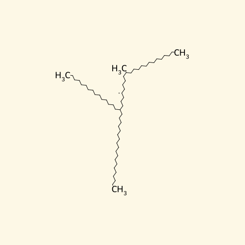 CCCCCCCCCCCCCCCCCCCC(CCC[CH]CCCCC(C)CCCCCCCCCCCCC)CCCCCCCCCCCCCCC